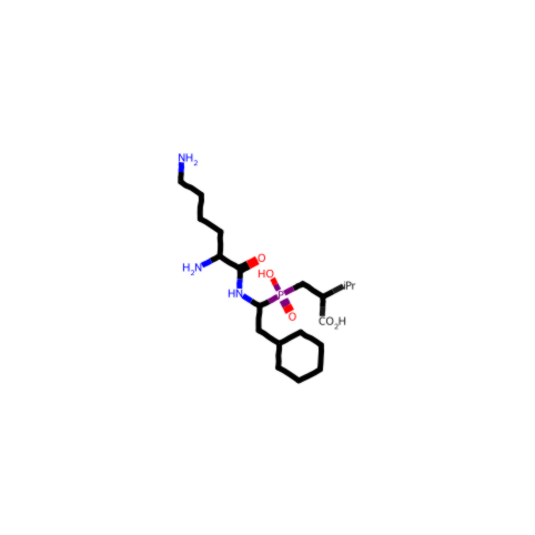 CC(C)C(CP(=O)(O)C(CC1CCCCC1)NC(=O)C(N)CCCCN)C(=O)O